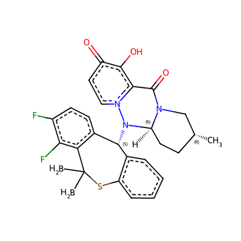 BC1(B)Sc2ccccc2[C@@H](N2[C@@H]3CC[C@@H](C)CN3C(=O)c3c(O)c(=O)ccn32)c2ccc(F)c(F)c21